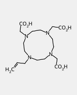 C=CCN1CCN(CC(=O)O)CCN(CC(=O)O)CCN(CC(=O)O)CC1